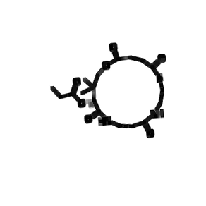 CCC(=O)O[C@H]1C(=O)NCCC(=O)NCCSC(=O)CCC(=O)OCC1(C)C